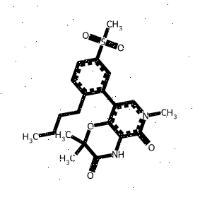 CCCCc1ccc(S(C)(=O)=O)cc1-c1cn(C)c(=O)c2c1OC(C)(C)C(=O)N2